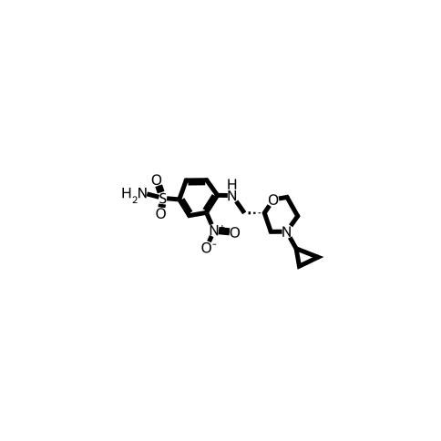 NS(=O)(=O)c1ccc(NC[C@H]2CN(C3CC3)CCO2)c([N+](=O)[O-])c1